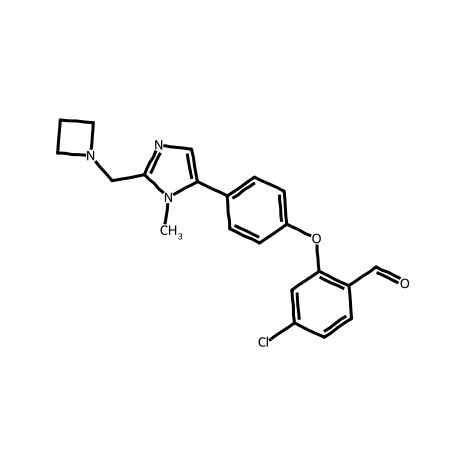 Cn1c(-c2ccc(Oc3cc(Cl)ccc3C=O)cc2)cnc1CN1CCC1